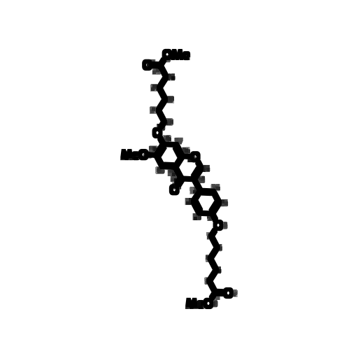 COC(=O)CCCCCOc1ccc(-c2coc3cc(OCCCCCC(=O)OC)c(OC)cc3c2=O)cc1